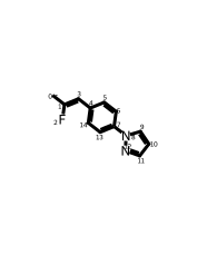 [CH2]/C(F)=C/c1ccc(-n2cccn2)cc1